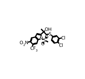 CC(O)(CSc1ccc(Cl)c(Cl)c1)c1cc2cc([N+](=O)[O-])c(C(F)(F)F)cc2n1S(C)(=O)=O